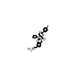 NCCc1ccc(Cn2c(=O)c3nc(-c4ccc(F)cc4)ncc3n(C3CCCC3)c2=O)cc1